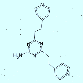 Nc1nc(CCc2ccncc2)nc(CCc2ccncc2)n1